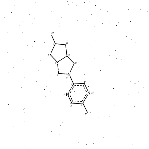 Cc1cnc(N2CC3CC(C)CC3C2)cn1